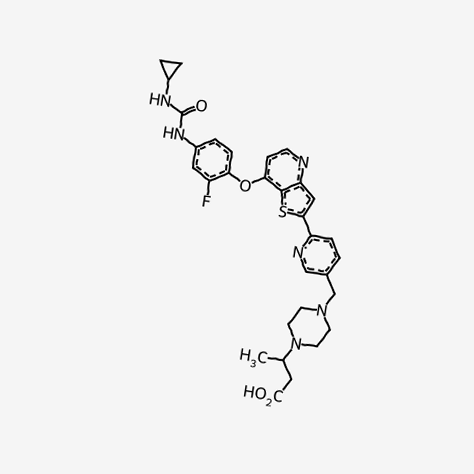 CC(CC(=O)O)N1CCN(Cc2ccc(-c3cc4nccc(Oc5ccc(NC(=O)NC6CC6)cc5F)c4s3)nc2)CC1